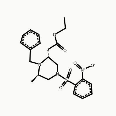 CCOC(=O)C[C@@H]1CN(S(=O)(=O)c2ccccc2[N+](=O)[O-])C[C@@H](C)N1Cc1ccccc1